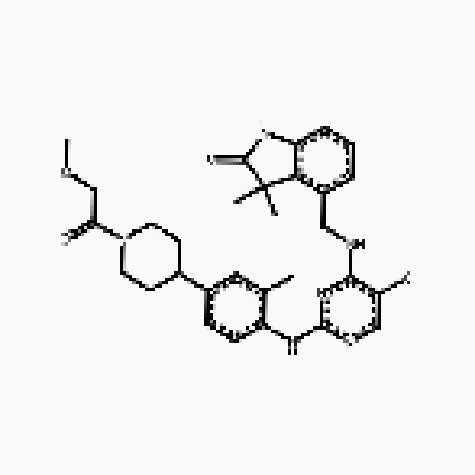 COCC(=O)N1CCC(c2ccc(Nc3ncc(Cl)c(NCc4cccc5c4C(C)(C)C(=O)N5)n3)c(C)c2)CC1